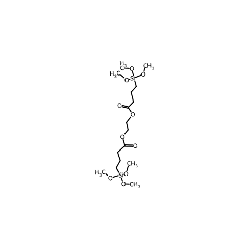 CO[Si](CCCC(=O)OCCOC(=O)CCC[Si](OC)(OC)OC)(OC)OC